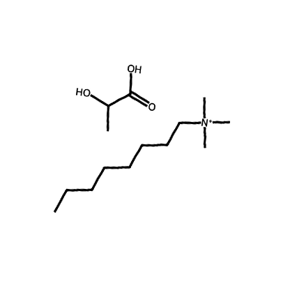 CC(O)C(=O)O.CCCCCCCC[N+](C)(C)C